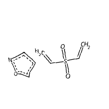 C=CS(=O)(=O)C=C.c1cnoc1